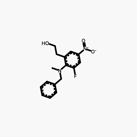 CN(Cc1ccccc1)c1c(F)cc([N+](=O)[O-])cc1CCO